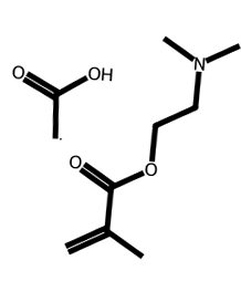 C=C(C)C(=O)OCCN(C)C.[CH2]C(=O)O